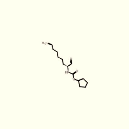 C=CCCCCC[C@@H](C=O)NC(=O)OC1CCCC1